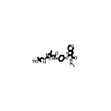 Cc1nc(NCC(C)(C)O)sc1C(=O)N[C@H]1CC[C@H](Oc2nc3c(cc2C(N)=O)COCC3)CC1